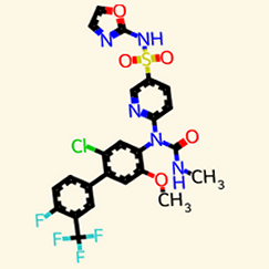 CNC(=O)N(c1ccc(S(=O)(=O)Nc2ncco2)cn1)c1cc(Cl)c(-c2ccc(F)c(C(F)(F)F)c2)cc1OC